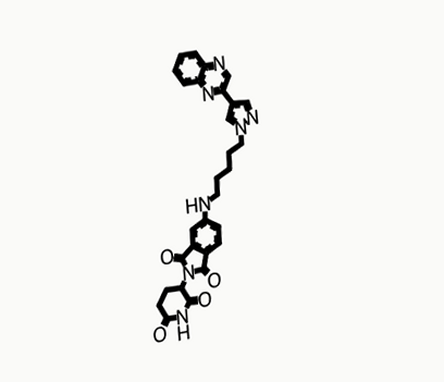 O=C1CCC(N2C(=O)c3ccc(NCCCCCn4cc(-c5cnc6ccccc6n5)cn4)cc3C2=O)C(=O)N1